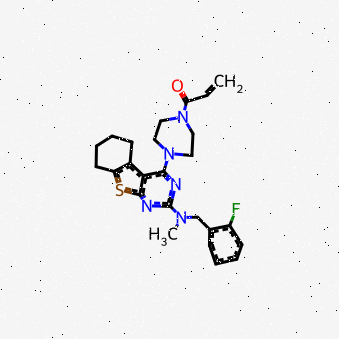 C=CC(=O)N1CCN(c2nc(N(C)Cc3ccccc3F)nc3sc4c(c23)CCCC4)CC1